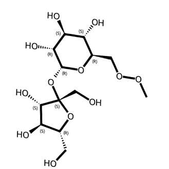 COOC[C@H]1O[C@H](O[C@]2(CO)O[C@H](CO)[C@@H](O)[C@@H]2O)[C@H](O)[C@@H](O)[C@@H]1O